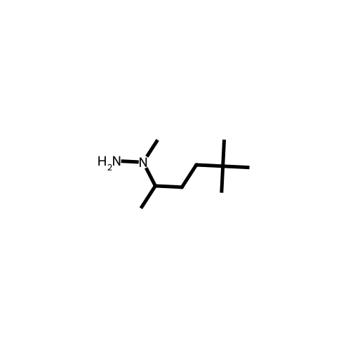 CC(CCC(C)(C)C)N(C)N